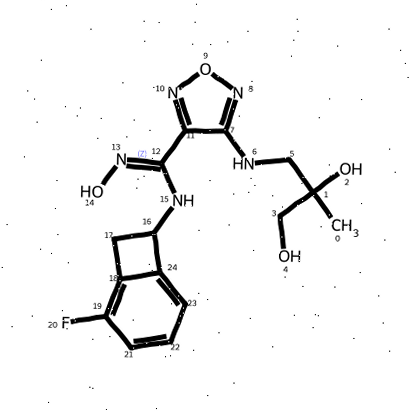 CC(O)(CO)CNc1nonc1/C(=N/O)NC1Cc2c(F)cccc21